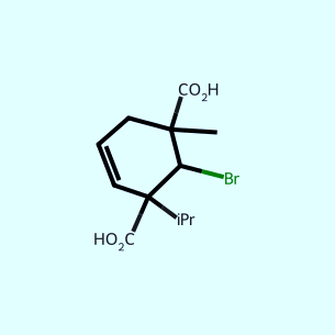 CC(C)C1(C(=O)O)C=CCC(C)(C(=O)O)C1Br